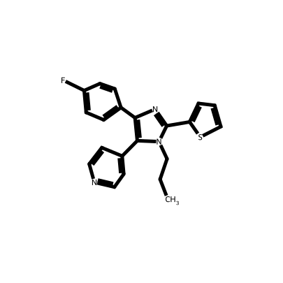 CCCn1c(-c2cccs2)nc(-c2ccc(F)cc2)c1-c1ccncc1